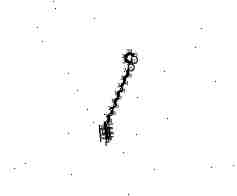 FC(F)(F)C(F)(F)C(F)(F)CCCCCCCCCCCCCCCOC1CCCCO1